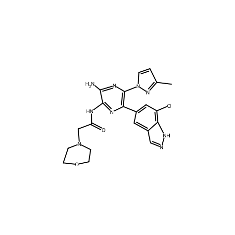 Cc1ccn(-c2nc(N)c(NC(=O)CN3CCOCC3)nc2-c2cc(Cl)c3[nH]ncc3c2)n1